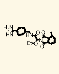 CCO[C@@H](C(=O)NCc1ccc(C(=N)N)cc1)N1C(=O)c2cccc(C)c2C1=O